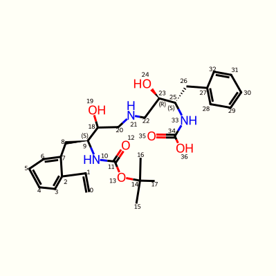 C=Cc1ccccc1C[C@H](NC(=O)OC(C)(C)C)C(O)CNC[C@@H](O)[C@H](Cc1ccccc1)NC(=O)O